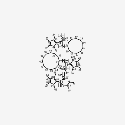 CC1=C(C)C(C)[C]([Ti]([NH]C2CCCCCCCCCC2)[SiH](C)C)=C1C.CC1=C(C)C(C)[C]([Ti]([NH]C2CCCCCCCCCCC2)[SiH](C)C)=C1C.CCC(C)[NH][Ti]([C]1=C(C)C(C)=C(C)C1C)[SiH](C)C